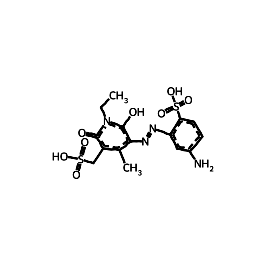 CCn1c(O)c(N=Nc2cc(N)ccc2S(=O)(=O)O)c(C)c(CS(=O)(=O)O)c1=O